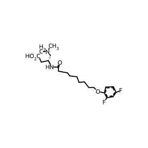 CN(C)C[C@@H](CC(=O)O)NC(=O)CCCCCCCCOc1ccc(F)cc1F